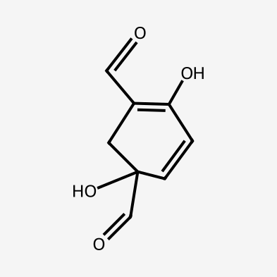 O=CC1=C(O)C=CC(O)(C=O)C1